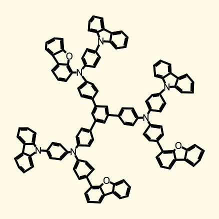 c1ccc2c(c1)oc1c(-c3ccc(N(c4ccc(-c5cc(-c6ccc(N(c7ccc(-c8cccc9c8oc8ccccc89)cc7)c7ccc(-n8c9ccccc9c9ccccc98)cc7)cc6)cc(-c6ccc(N(c7ccc(-n8c9ccccc9c9ccccc98)cc7)c7cccc8c7oc7ccccc78)cc6)c5)cc4)c4ccc(-n5c6ccccc6c6ccccc65)cc4)cc3)cccc12